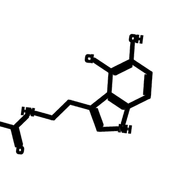 CC(=O)NCCc1c[nH]c2ccc(O)c(Cl)c12